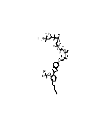 CCCCCc1ccc(-c2cc3ccc(OCC(F)(F)OC(F)(F)OC(F)(F)OC(F)(F)COC(=O)C(C)(C)C(N)CC(C)(C)N)cc3s2)c(OC(F)(F)F)c1